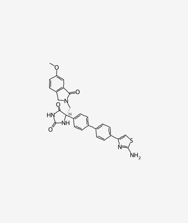 COc1ccc2c(c1)C(=O)N(C[C@]1(c3ccc(-c4ccc(-c5csc(N)n5)cc4)cc3)NC(=O)NC1=O)C2